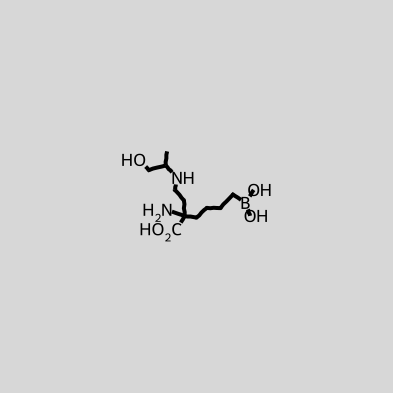 CC(CO)NCCC(N)(CCCCB(O)O)C(=O)O